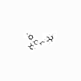 Cc1ccncc1CN(c1ccc2c(c1)OCO2)C1CCN(C(C)CCNC(=O)c2c(C)cc(Cl)nc2C)CC1